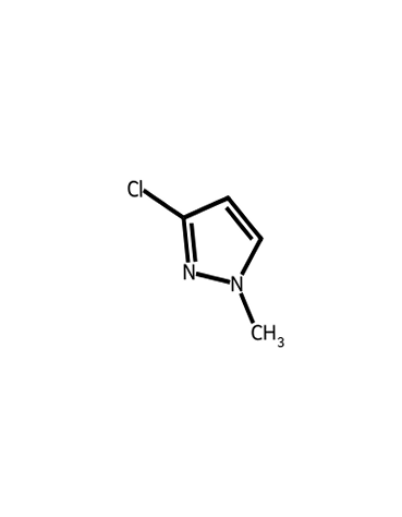 Cn1ccc(Cl)n1